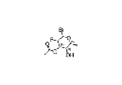 CC(=O)O[C@H]1C(F)C(Br)O[C@@H](C)[C@H]1O